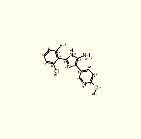 COc1ncc(-c2nc(-c3c(F)cccc3Cl)[nH]c2N)cn1